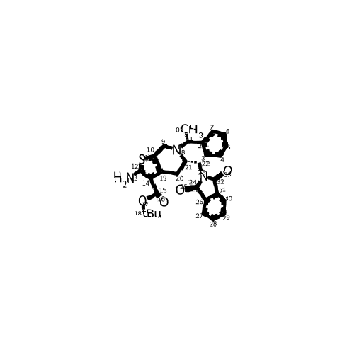 C[C@@H](c1ccccc1)N1Cc2sc(N)c(C(=O)OC(C)(C)C)c2C[C@H]1CN1C(=O)c2ccccc2C1=O